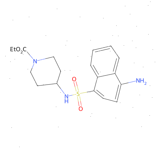 CCOC(=O)N1CCC(NS(=O)(=O)c2ccc(N)c3ccccc23)CC1